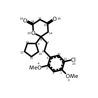 COc1cc(OC)c(CCC2(C3CCCC3)CC(=O)CC(=O)O2)cc1Cl